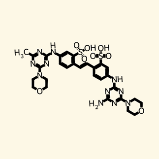 Cc1nc(Nc2ccc(/C=C/c3ccc(Nc4nc(N)nc(N5CCOCC5)n4)cc3S(=O)(=O)O)c(S(=O)(=O)O)c2)nc(N2CCOCC2)n1